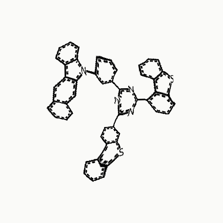 c1cc(-c2nc(-c3ccc4c(c3)sc3ccccc34)nc(-c3cccc4sc5ccccc5c34)n2)cc(-n2c3ccccc3c3cc4ccccc4cc32)c1